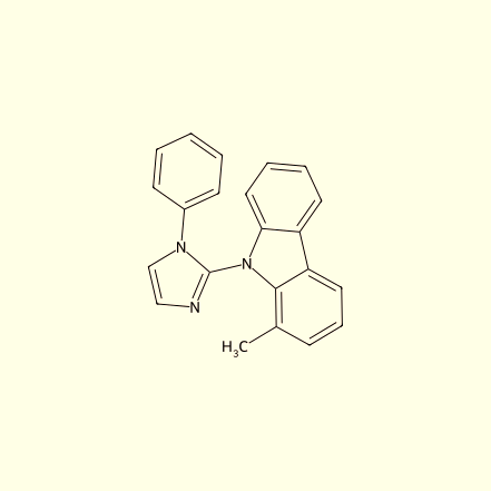 Cc1cccc2c3ccccc3n(-c3nccn3-c3ccccc3)c12